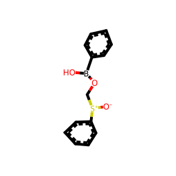 [O-][S+](COB(O)c1ccccc1)c1ccccc1